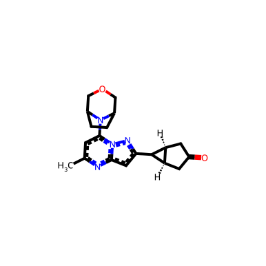 Cc1cc(N2C3CCC2COC3)n2nc(C3[C@H]4CC(=O)C[C@@H]34)cc2n1